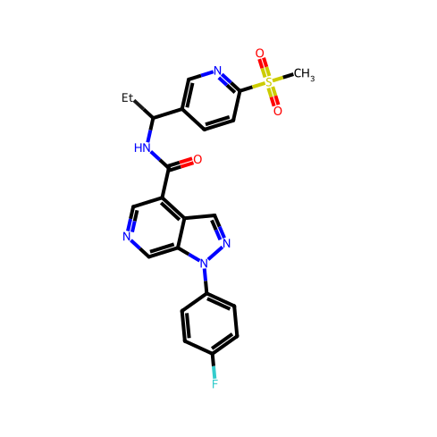 CCC(NC(=O)c1cncc2c1cnn2-c1ccc(F)cc1)c1ccc(S(C)(=O)=O)nc1